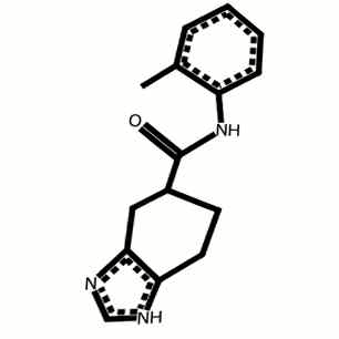 Cc1ccccc1NC(=O)C1CCc2[nH]cnc2C1